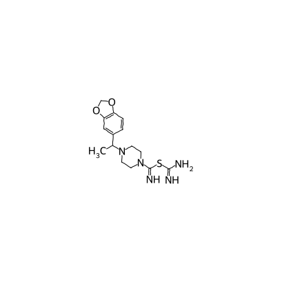 CC(c1ccc2c(c1)OCO2)N1CCN(C(=N)SC(=N)N)CC1